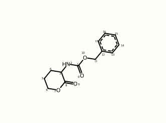 O=C(NC1CCCOC1=O)OCc1ccccc1